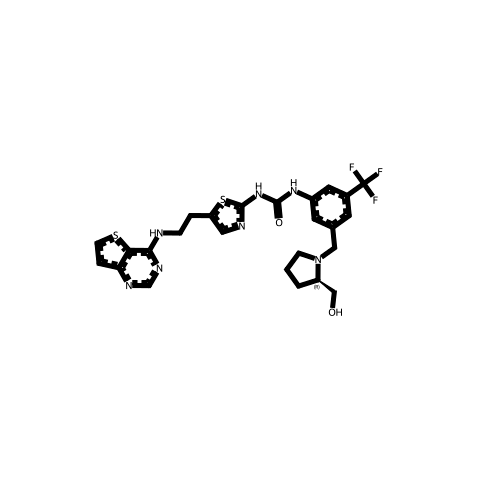 O=C(Nc1cc(CN2CCC[C@@H]2CO)cc(C(F)(F)F)c1)Nc1ncc(CCNc2ncnc3ccsc23)s1